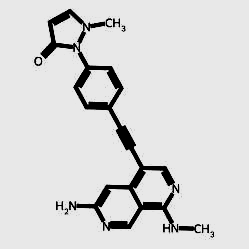 CNc1ncc(C#Cc2ccc(-n3c(=O)ccn3C)cc2)c2cc(N)ncc12